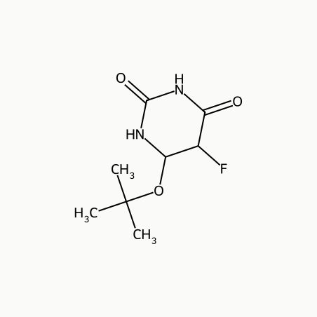 CC(C)(C)OC1NC(=O)NC(=O)C1F